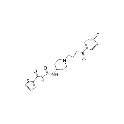 O=C(NC(=O)c1cccs1)NC1CCN(CCCC(=O)c2ccc(F)cc2)CC1